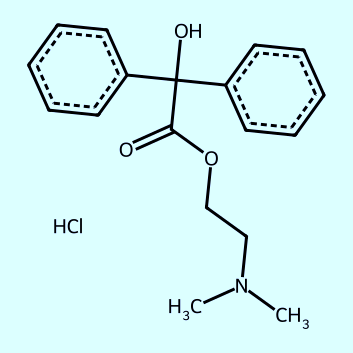 CN(C)CCOC(=O)C(O)(c1ccccc1)c1ccccc1.Cl